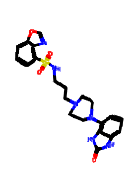 O=c1[nH]c2cccc(N3CCN(CCCNS(=O)(=O)c4cccc5ocnc45)CC3)c2[nH]1